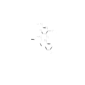 C=CCN(CC=C)c1nc(N)nc(N)c1N=Nc1ccc(Cl)cc1